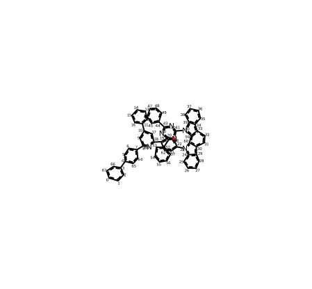 c1ccc(-c2ccc(-c3cc(-c4ccccc4)cc(-c4ccc(-n5c6ccccc6c6ccc7c8ccccc8n(-c8nc(-c9ccccc9)nc(-c9ccccc9)n8)c7c65)cc4)n3)cc2)cc1